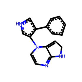 C1=CN(c2c[nH]cc2-c2ccccc2)C2=CCNC2=N1